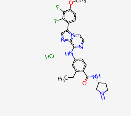 CCc1cc(Nc2nccn3c(-c4ccc(OC)c(F)c4F)cnc23)ccc1C(=O)N[C@@H]1CCNC1.Cl